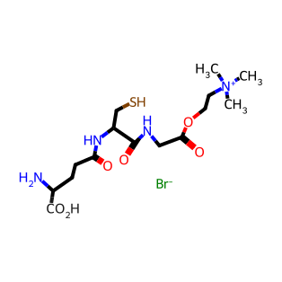 C[N+](C)(C)CCOC(=O)CNC(=O)C(CS)NC(=O)CCC(N)C(=O)O.[Br-]